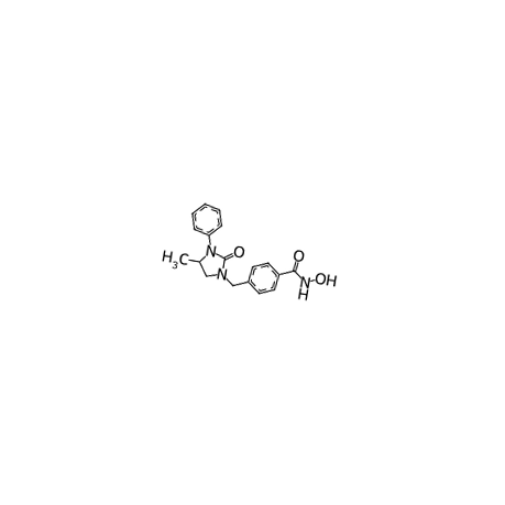 CC1CN(Cc2ccc(C(=O)NO)cc2)C(=O)N1c1ccccc1